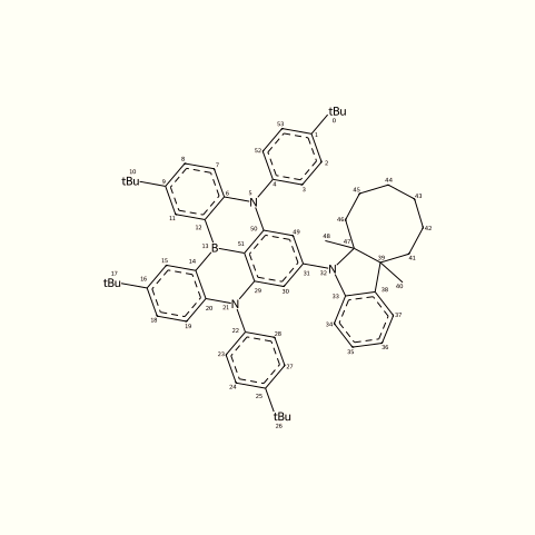 CC(C)(C)c1ccc(N2c3ccc(C(C)(C)C)cc3B3c4cc(C(C)(C)C)ccc4N(c4ccc(C(C)(C)C)cc4)c4cc(N5c6ccccc6C6(C)CCCCCCC56C)cc2c43)cc1